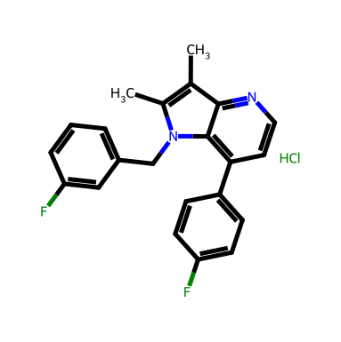 Cc1c(C)n(Cc2cccc(F)c2)c2c(-c3ccc(F)cc3)ccnc12.Cl